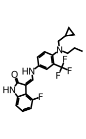 CCCN(CC1CC1)c1ccc(NC=C2C(=O)Nc3cccc(F)c32)cc1C(F)(F)F